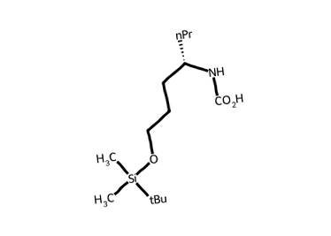 CCC[C@@H](CCCO[Si](C)(C)C(C)(C)C)NC(=O)O